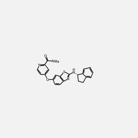 CNC(=O)c1cc(Oc2ccc3nc(N[C@H]4CCc5ccccc54)sc3c2)ccn1